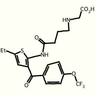 CCc1cc(C(=O)c2ccc(OC(F)(F)F)cc2)c(NC(=O)CCCNCC(=O)O)s1